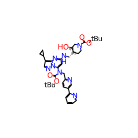 CC(C)(C)OC(=O)N1CC[C@H](CNc2cc(N(Cc3ccc(-c4ccccn4)cn3)C(=O)OC(C)(C)C)n3ncc(C4CC4)c3n2)[C@@H](O)C1